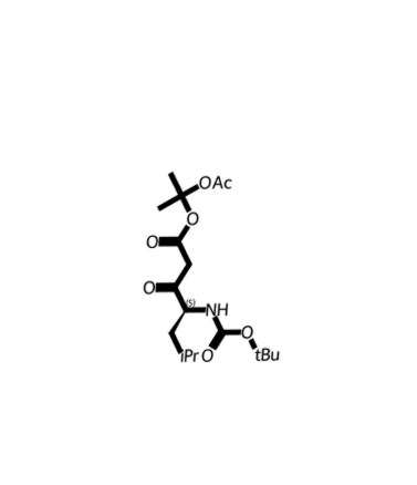 CC(=O)OC(C)(C)OC(=O)CC(=O)[C@H](CC(C)C)NC(=O)OC(C)(C)C